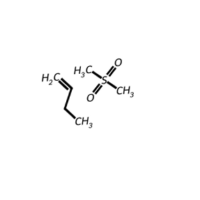 C=CCC.CS(C)(=O)=O